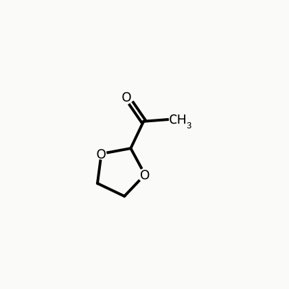 CC(=O)C1OCCO1